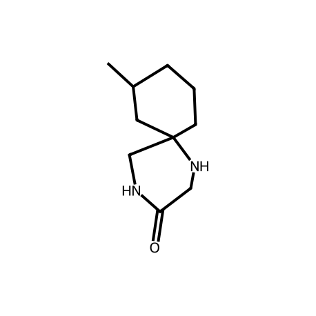 CC1CCCC2(CNC(=O)CN2)C1